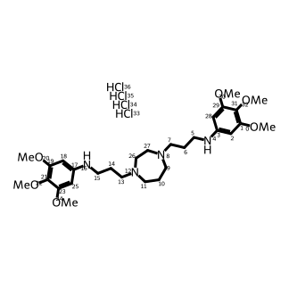 COc1cc(NCCCN2CCCN(CCCNc3cc(OC)c(OC)c(OC)c3)CC2)cc(OC)c1OC.Cl.Cl.Cl.Cl